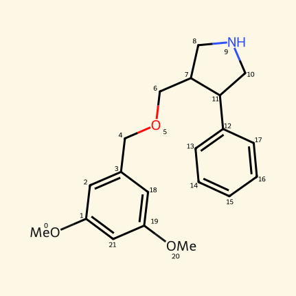 COc1cc(COCC2CNCC2c2ccccc2)cc(OC)c1